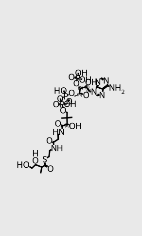 CC(C(=O)SCCNC(=O)CCNC(=O)[C@H](O)C(C)(C)COP(=O)(O)OP(=O)(O)OC[C@H]1O[C@@H](n2cnc3c(N)ncnc32)[C@H](O)[C@@H]1OP(=O)(O)O)C(O)CO